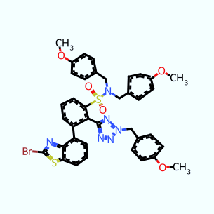 COc1ccc(CN(Cc2ccc(OC)cc2)S(=O)(=O)c2cccc(-c3cccc4sc(Br)nc34)c2-c2nnn(Cc3ccc(OC)cc3)n2)cc1